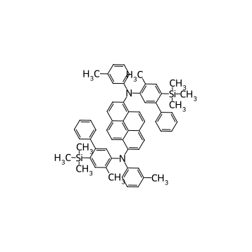 Cc1cccc(N(c2cc(-c3ccccc3)c([Si](C)(C)C)cc2C)c2ccc3ccc4c(N(c5cccc(C)c5)c5cc(-c6ccccc6)c([Si](C)(C)C)cc5C)ccc5ccc2c3c54)c1